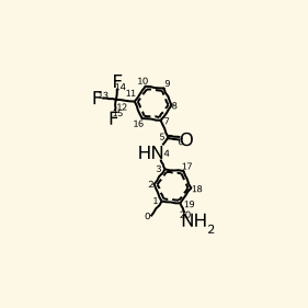 Cc1cc(NC(=O)c2cccc(C(F)(F)F)c2)ccc1N